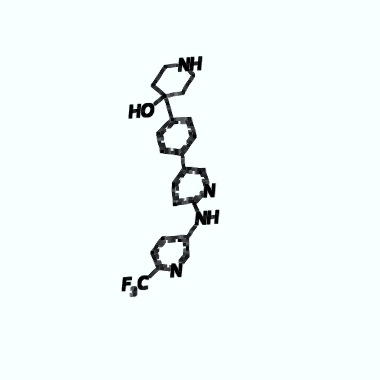 OC1(c2ccc(-c3ccc(Nc4ccc(C(F)(F)F)nc4)nc3)cc2)CCNCC1